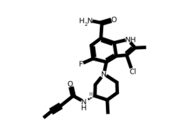 CC#CC(=O)N[C@@H]1CN(c2c(F)cc(C(N)=O)c3[nH]c(C)c(Cl)c23)CCC1C